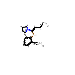 CC/C=C(\Sc1ccccc1C)N1CCCC1